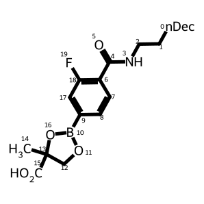 CCCCCCCCCCCCNC(=O)c1ccc(B2OCC(C)(C(=O)O)O2)cc1F